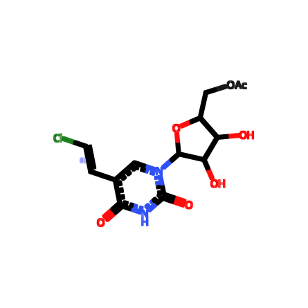 CC(=O)OCC1OC(n2cc(/C=C/Cl)c(=O)[nH]c2=O)C(O)C1O